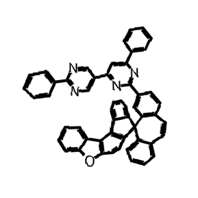 C1=Cc2ccc(-c3nc(-c4ccccc4)cc(-c4cnc(-c5ccccc5)nc4)n3)cc2C2(c3ccccc31)c1ccccc1-c1c2ccc2oc3ccccc3c12